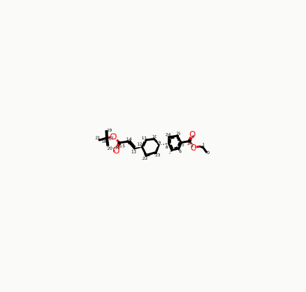 CCOC(=O)c1ccc([C@H]2CC[C@H](C=CC(=O)OC(C)(C)C)CC2)cc1